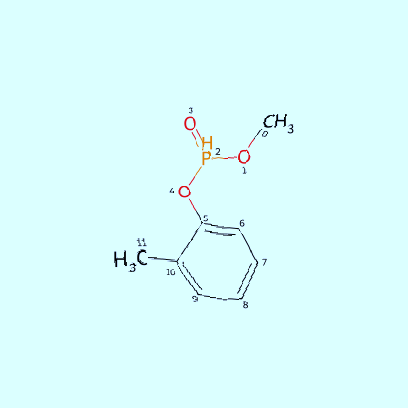 CO[PH](=O)Oc1ccccc1C